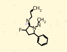 C=CC/N=C1/C(F)CC(c2ccccc2)N1N=C